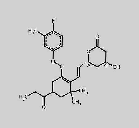 CCC(=O)C1CC(OOc2ccc(F)c(C)c2)=C(C=C[C@H]2C[C@H](O)CC(=O)O2)C(C)(C)C1